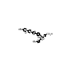 CCCCC1CCN(C2CCN(c3cnc(-c4ccc(C[C@H](NC(=O)c5ccc(C(C)(C)C)s5)C(=O)N5CC(C(=O)O)C5)cc4)nc3)CC2)C(=O)C1